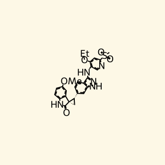 CCOc1cc(S(C)(=O)=O)ncc1Nc1n[nH]c2cc([C@@H]3C[C@@]34C(=O)Nc3ccc(OC)cc34)ccc12